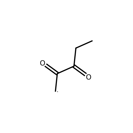 [CH2]C(=O)C(=O)CC